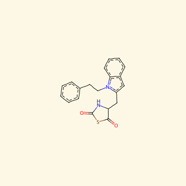 O=C1NC(Cc2cc3ccccc3n2CCc2ccccc2)C(=O)S1